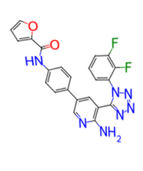 Nc1ncc(-c2ccc(NC(=O)c3ccco3)cc2)cc1-c1nnnn1-c1cccc(F)c1F